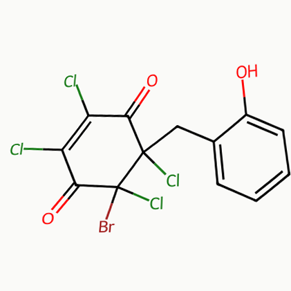 O=C1C(Cl)=C(Cl)C(=O)C(Cl)(Cc2ccccc2O)C1(Cl)Br